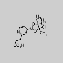 CC1(C)OB(c2ccnc(CCC(=O)O)c2)OC1(C)C